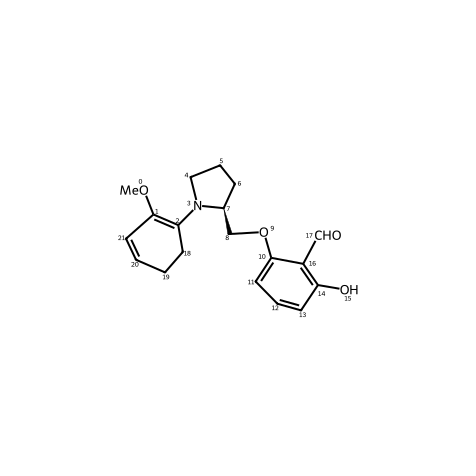 COC1=C(N2CCC[C@H]2COc2cccc(O)c2C=O)CCC=C1